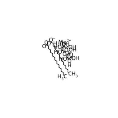 CCCCCCCCCCCCCCCCCC(=O)[O-].CCCCCCCCCCCCCCCCCC(=O)[O-].O.OC[C@H]1O[C@@H](O[C@H]2[C@H](O)[C@@H](O)[C@@H](O)O[C@@H]2CO)[C@H](O)[C@@H](O)[C@H]1O.[Mg+2]